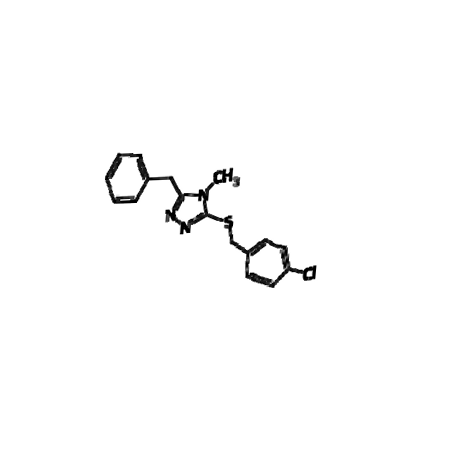 Cn1c(Cc2ccccc2)nnc1SCc1ccc(Cl)cc1